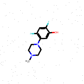 CN1CCN(c2cc(O)c(F)cc2F)CC1